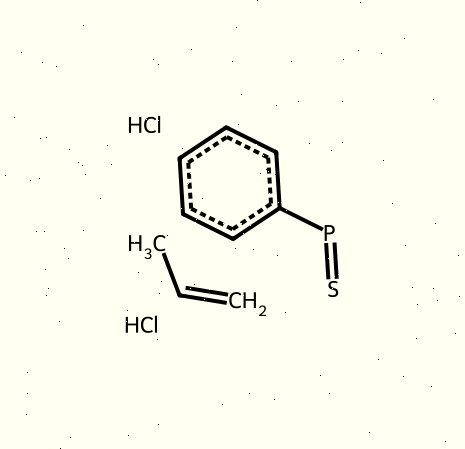 C=CC.Cl.Cl.S=Pc1ccccc1